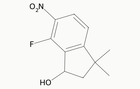 CC1(C)CC(O)c2c1ccc([N+](=O)[O-])c2F